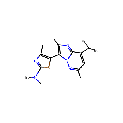 CCC(CC)c1cc(C)nn2c(-c3sc(N(C)CC)nc3C)c(C)nc12